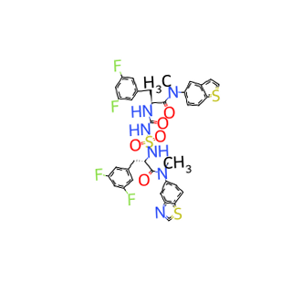 CN(C(=O)[C@H](Cc1cc(F)cc(F)c1)NC(=O)NS(=O)(=O)N[C@@H](Cc1cc(F)cc(F)c1)C(=O)N(C)c1ccc2scnc2c1)c1ccc2sccc2c1